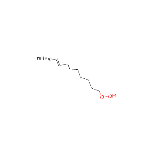 CCCCCC/C=C/CCCCCCCOO